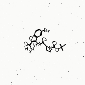 CC(C)(C)OC(=O)N1CCC1C(=O)Nc1c(C(N)=O)oc2ccc(Br)cc12